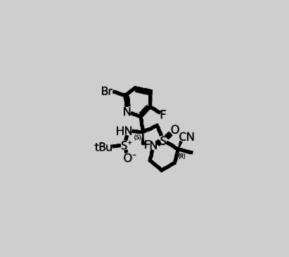 CC(C)(C)[S+]([O-])N[C@@](CF)(CS1(=O)=NCCC[C@]1(C)C#N)c1nc(Br)ccc1F